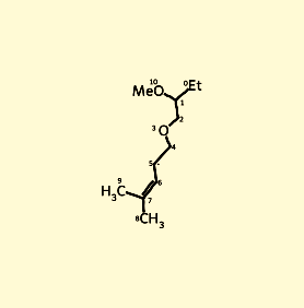 CCC(COC[CH]C=C(C)C)OC